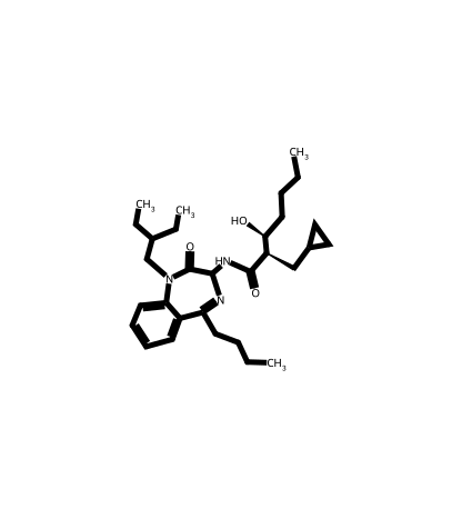 CCCCC1=NC(NC(=O)[C@H](CC2CC2)[C@@H](O)CCCC)C(=O)N(CC(CC)CC)c2ccccc21